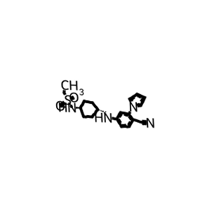 CCS(=O)(=O)N[C@H]1CC[C@H](CNc2ccc(C#N)c(-n3cccc3)c2)CC1